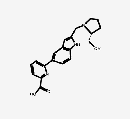 O=C(O)c1cccc(-c2ccc3[nH]c(CN4CCC[C@@H]4CO)cc3c2)n1